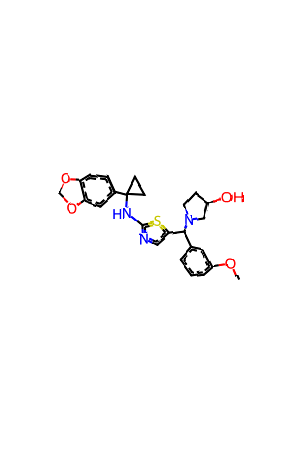 COc1cccc(C(c2cnc(NC3(c4ccc5c(c4)OCO5)CC3)s2)N2CC[C@@H](O)C2)c1